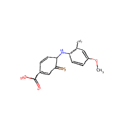 COc1ccc(NC2C=CC(C(=O)O)=CC2=S)c(C)c1